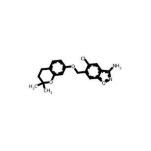 CC1(C)CCc2ccc(OCc3cc4onc(N)c4cc3Cl)cc2O1